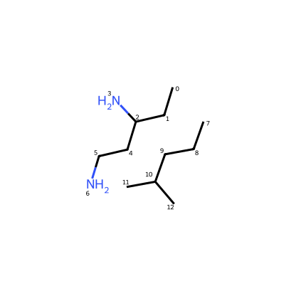 CCC(N)CCN.CCCC(C)C